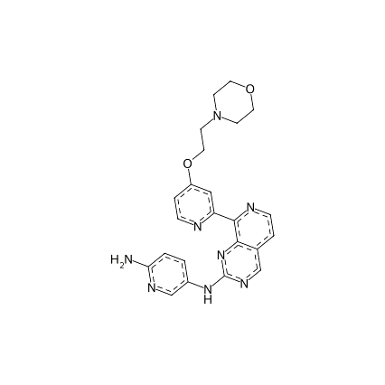 Nc1ccc(Nc2ncc3ccnc(-c4cc(OCCN5CCOCC5)ccn4)c3n2)cn1